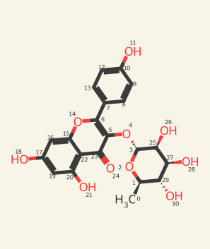 C[C@H]1O[C@H](Oc2c(-c3ccc(O)cc3)oc3cc(O)cc(O)c3c2=O)[C@@H](O)[C@@H](O)[C@@H]1O